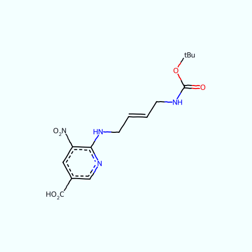 CC(C)(C)OC(=O)NCC=CCNc1ncc(C(=O)O)cc1[N+](=O)[O-]